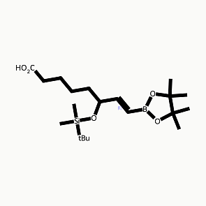 CC1(C)OB(/C=C/C(CCCCC(=O)O)O[Si](C)(C)C(C)(C)C)OC1(C)C